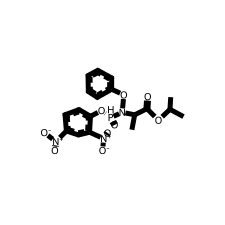 CC(C)OC(=O)C(C)N(Oc1ccccc1)[PH](=O)Oc1ccc([N+](=O)[O-])cc1[N+](=O)[O-]